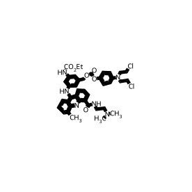 CCOC(=O)Nc1cc(COC(=O)Oc2ccc(N(CCCl)CCCl)cc2)cc(Nc2c3cccc(C)c3nc3c(C(=O)NCCN(C)C)cccc23)c1